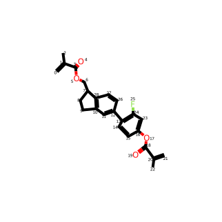 C=C(C)C(=O)OCC1CCc2cc(-c3ccc(OC(=O)C(=C)C)cc3F)ccc21